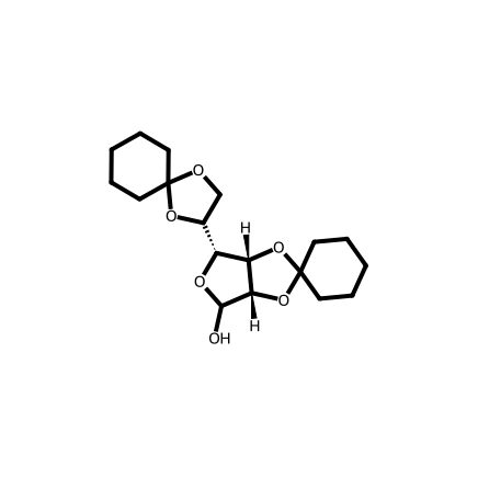 OC1O[C@H](C2COC3(CCCCC3)O2)[C@@H]2OC3(CCCCC3)O[C@H]12